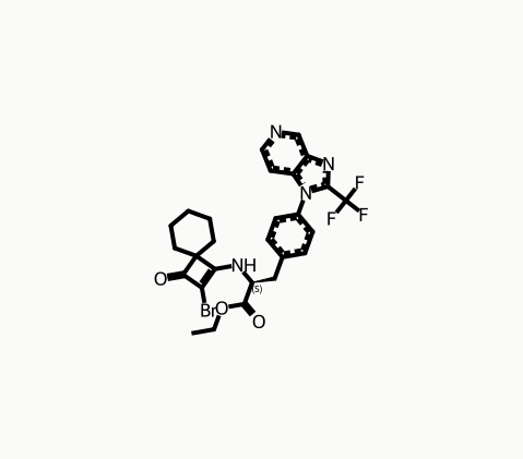 CCOC(=O)[C@H](Cc1ccc(-n2c(C(F)(F)F)nc3cnccc32)cc1)NC1=C(Br)C(=O)C12CCCCC2